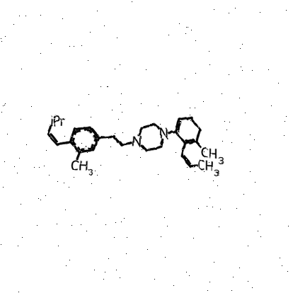 C/C=C\C1=C(C)CCC=C1N1CCN(CCc2ccc(/C=C\C(C)C)c(C)c2)CC1